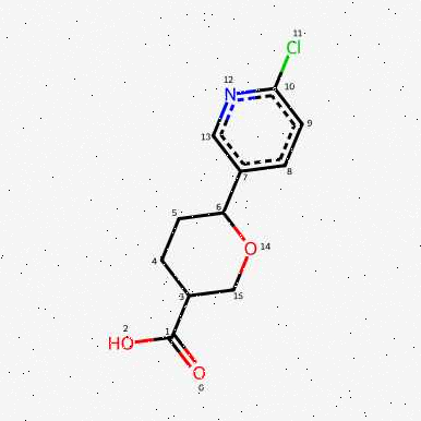 O=C(O)C1CCC(c2ccc(Cl)nc2)OC1